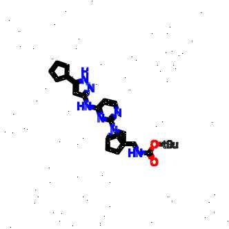 CC(C)(C)OC(=O)NCC12CCC(C1)N(c1nccc(Nc3cc(C4CCCC4)[nH]n3)n1)C2